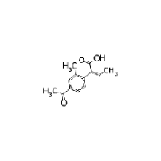 CC=C(C(=O)O)c1ccc(C(C)=O)cc1C